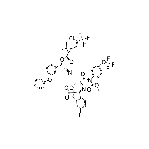 CC1(C)[C@H](C(=O)O[C@H](C#N)c2cccc(Oc3ccccc3)c2)[C@@H]1/C=C(\Cl)C(F)(F)F.COC(=O)N(C(=O)N1CO[C@@]2(C(=O)OC)Cc3cc(Cl)ccc3C2=N1)c1ccc(OC(F)(F)F)cc1